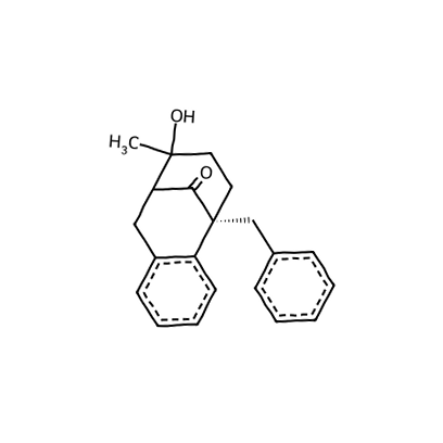 CC1(O)CC[C@]2(Cc3ccccc3)C(=O)C1Cc1ccccc12